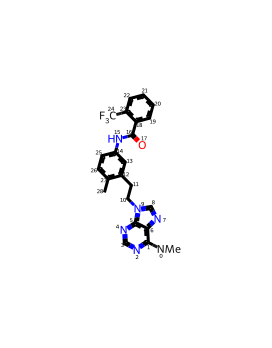 CNc1ncnc2c1ncn2CCc1cc(NC(=O)c2ccccc2C(F)(F)F)ccc1C